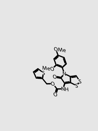 COc1ccc(-n2c3cssc-3c(NC(=O)OCc3cccs3)c2=O)c(OC)c1